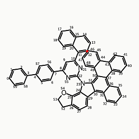 c1ccc(-c2ccc(-c3cc(-c4cccc5ccccc45)nc(-n4c5c6c(ccc5c5c7ccccc7c7c8ccccc8c8ccccc8c7c54)CCO6)n3)cc2)cc1